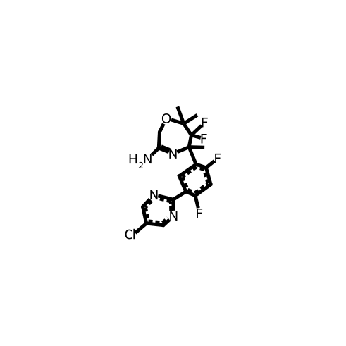 CC1(C)OCC(N)=NC(C)(c2cc(-c3ncc(Cl)cn3)c(F)cc2F)C1(F)F